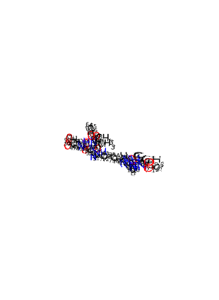 CC(C)C(NC(=O)OC1CCCC1)C(=O)N1CCC[C@H]1c1nc(-c2ccc(-c3ccc(-c4cnc([C@@H]5C[C@@H](OC(=O)N6Cc7cc8c(cc7C6)OCO8)CN5C(=O)[C@@H](NC(=O)OC5CCCC5)C(C)C)[nH]4)cc3)cc2)c[nH]1